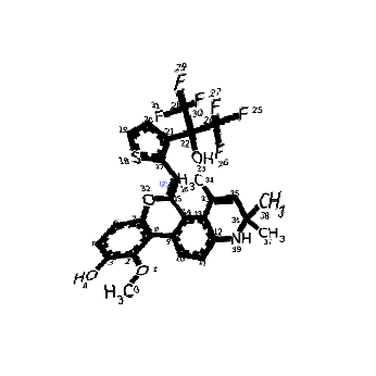 COc1c(O)ccc2c1-c1ccc3c(c1/C(=C/c1sccc1C(O)(C(F)(F)F)C(F)(F)F)O2)C(C)=CC(C)(C)N3